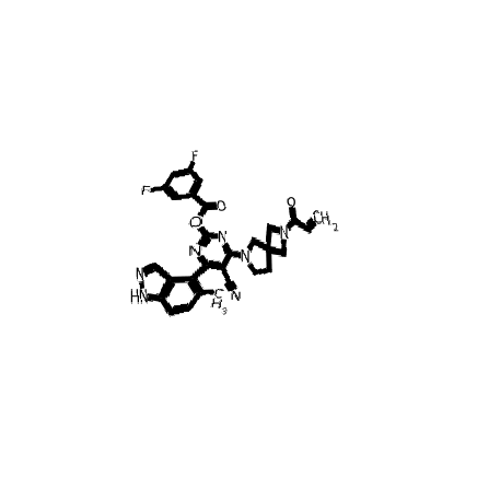 C=CC(=O)N1CC2(CCN(c3nc(OC(=O)c4cc(F)cc(F)c4)nc(-c4c(C)ccc5[nH]ncc45)c3C#N)C2)C1